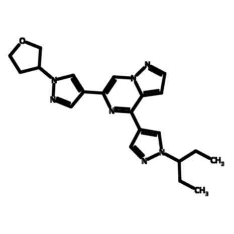 CCC(CC)n1cc(-c2nc(-c3cnn(C4CCOC4)c3)cn3nccc23)cn1